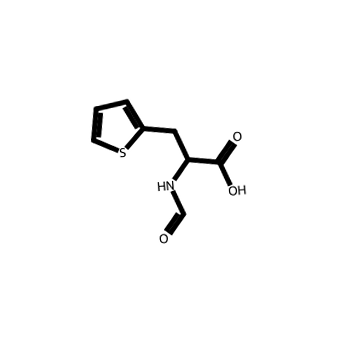 O=CNC(Cc1cccs1)C(=O)O